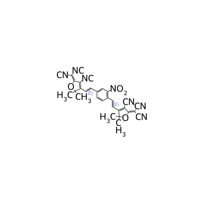 [C-]#[N+]C([N+]#[C-])=C1OC(C)(C)C(/C=C/c2ccc(/C=C/C3=C(C#N)C(=C(C#N)C#N)OC3(C)C)c([N+](=O)[O-])c2)=C1[N+]#[C-]